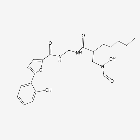 CCCCCC(CN(O)C=O)C(=O)NCNC(=O)c1ccc(-c2ccccc2O)o1